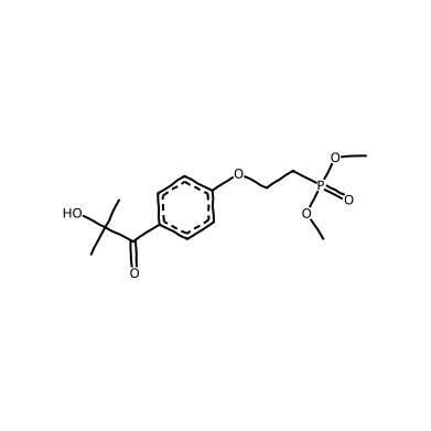 COP(=O)(CCOc1ccc(C(=O)C(C)(C)O)cc1)OC